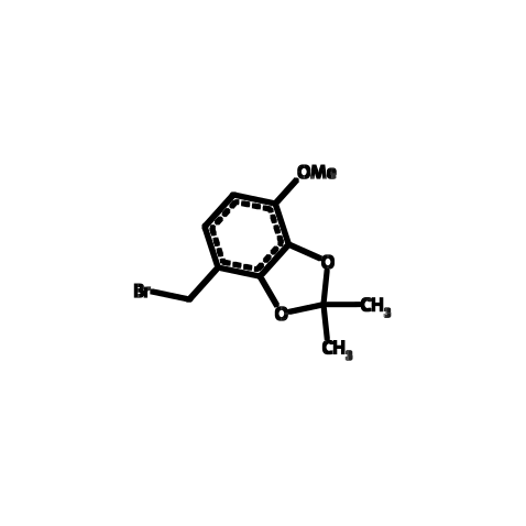 COc1ccc(CBr)c2c1OC(C)(C)O2